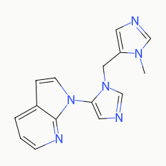 Cn1cncc1Cn1cncc1-n1ccc2cccnc21